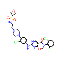 O=C1c2cnc(Nc3ccc(N4CCN(CCNS(=O)(=O)C5COC5)CC4)c(Cl)c3)nc2OCN1c1c(Cl)cccc1Cl